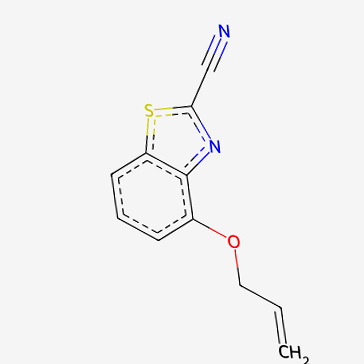 C=CCOc1cccc2sc(C#N)nc12